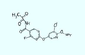 CC(C)Oc1ncc(Oc2ccc(C(=O)NS(C)(=O)=O)c(F)c2)cc1Cl